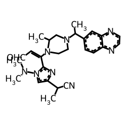 CC(C#N)c1cn(N(C)C)c(/C(=C\C=O)N2CCN(C(C)c3ccc4nccnc4c3)CC2C)n1